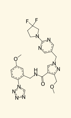 COCc1nn(Cc2cnc(N3CCC(F)(F)C3)nc2)cc1C(=O)NCc1cc(OC)ccc1-n1cnnn1